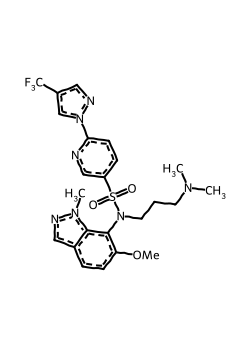 COc1ccc2cnn(C)c2c1N(CCCN(C)C)S(=O)(=O)c1ccc(-n2cc(C(F)(F)F)cn2)nc1